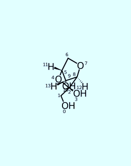 OC[C@]1(O)O[C@@H]2CO[C@@H]1[C@@H]2O